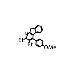 CCc1nc2c(c(-c3ccc(OC)cc3)c1CC)-c1ccccc1C2